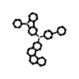 c1ccc(-c2ccc(N(c3ccc4c(ccc5ccc6ccccc6c54)c3)c3ccc4c(c3)c3ccccc3n4-c3ccccc3)cc2)cc1